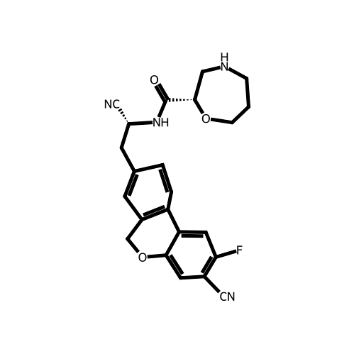 N#Cc1cc2c(cc1F)-c1ccc(C[C@H](C#N)NC(=O)[C@@H]3CNCCCO3)cc1CO2